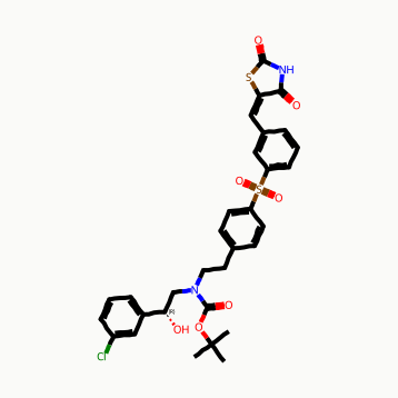 CC(C)(C)OC(=O)N(CCc1ccc(S(=O)(=O)c2cccc(C=C3SC(=O)NC3=O)c2)cc1)C[C@H](O)c1cccc(Cl)c1